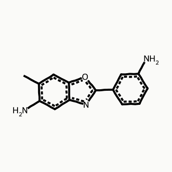 Cc1cc2oc(-c3cccc(N)c3)nc2cc1N